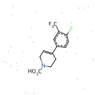 O=C(O)N1CC=C(c2ccc(F)c(C(F)(F)F)c2)CC1